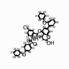 O=C(O)CC(NC(=O)c1cc(Cl)ccc1NS(=O)(=O)c1ccc(Oc2ccccc2)cc1)c1ccc(-c2ccccc2Oc2ccccc2)cc1